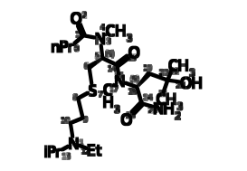 CCCC(=O)N(C)[C@H](CSCCCN(CC)C(C)C)C(=O)N(C)[C@@H](CC(C)(C)O)C(N)=O